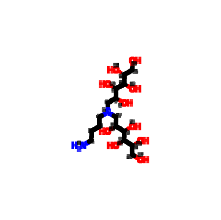 NCCCCN(C[C@H](O)[C@@H](O)[C@H](O)[C@H](O)CO)C[C@H](O)[C@@H](O)[C@H](O)[C@H](O)CO